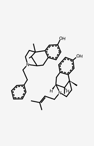 CC(C)=CCN1CC[C@@]2(C)c3cc(O)ccc3C[C@@H]1[C@@H]2C.CC1C2Cc3ccc(O)cc3C1(C)CCN2CCc1ccccc1